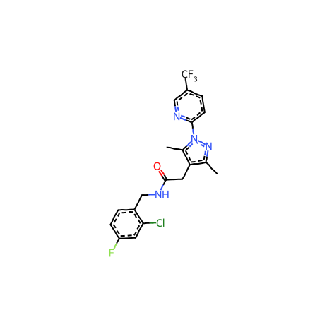 Cc1nn(-c2ccc(C(F)(F)F)cn2)c(C)c1CC(=O)NCc1ccc(F)cc1Cl